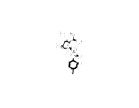 Cc1ccc(S(=O)(=O)ON2C[C@@H](F)C[C@H]2C(N)=O)cc1